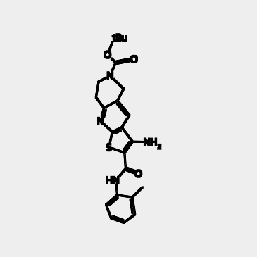 Cc1ccccc1NC(=O)c1sc2nc3c(cc2c1N)CN(C(=O)OC(C)(C)C)CC3